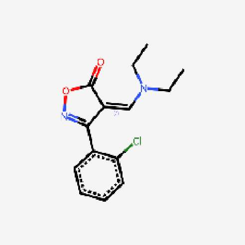 CCN(/C=C1\C(=O)ON=C1c1ccccc1Cl)CC